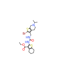 CCOC(=O)c1c(NC(=O)NCc2c(Br)sc3c2CCN(C(C)C)C3)sc2c1CCCC2